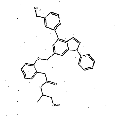 COCC(C)OC(=O)Cc1ccccc1OCc1cc(-c2cccc(CN)c2)c2ccn(-c3ccccc3)c2c1